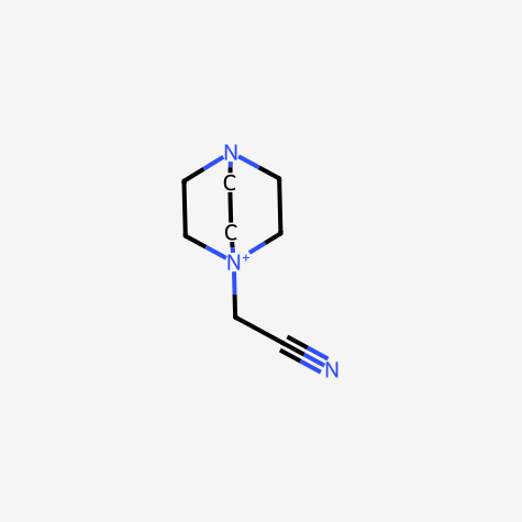 N#CC[N+]12CCN(CC1)CC2